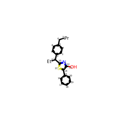 CCC(c1ccc(CC(C)C)cc1)c1nc(O)c(-c2ccccc2)s1